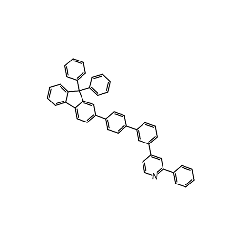 c1ccc(-c2cc(-c3cccc(-c4ccc(-c5ccc6c(c5)C(c5ccccc5)(c5ccccc5)c5ccccc5-6)cc4)c3)ccn2)cc1